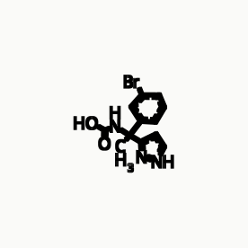 CC(NC(=O)O)(c1cccc(Br)c1)c1cc[nH]n1